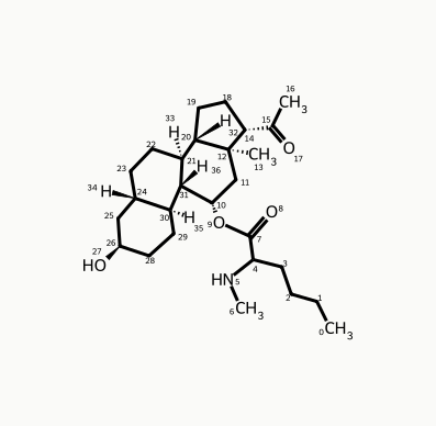 CCCCC(NC)C(=O)O[C@H]1C[C@]2(C)[C@@H](C(C)=O)CC[C@H]2[C@@H]2CC[C@H]3C[C@H](O)CC[C@@H]3[C@H]21